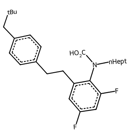 CCCCCCCN(C(=O)O)c1c(F)cc(F)cc1CCc1ccc(CC(C)(C)C)cc1